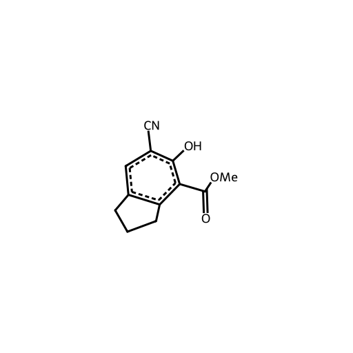 COC(=O)c1c(O)c(C#N)cc2c1CCC2